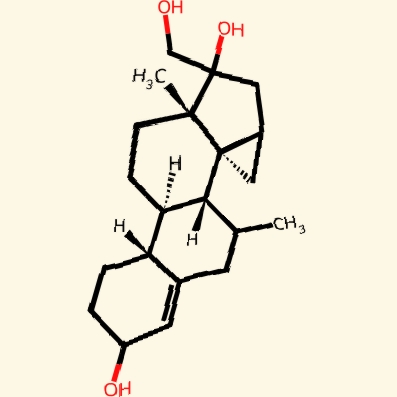 CC1CC2=CC(O)CC[C@@H]2[C@H]2CC[C@]3(C)C(O)(CO)CC4C[C@@]43[C@H]12